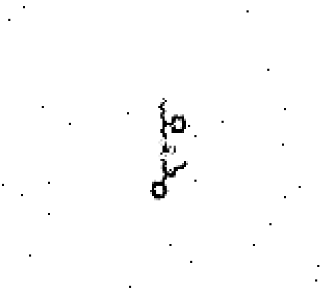 CCCCC(=CCOC(=O)OCC=C(CCCC)c1ccccc1)c1ccccc1